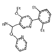 CCCC(Oc1ccccn1)c1cnc(-c2c(CC)cccc2CC)cc1OCC